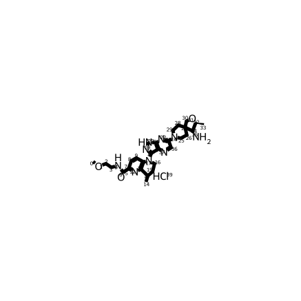 COCCNC(=O)c1ccc2c(n1)C(C)CCN2c1n[nH]c2nc(N3CCC4(CC3)CO[C@@H](C)[C@H]4N)cnc12.Cl